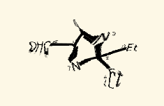 CCC1(CC)N=CC(C=O)=N1